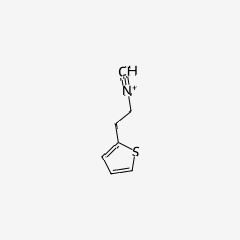 C#[N+]CCc1cccs1